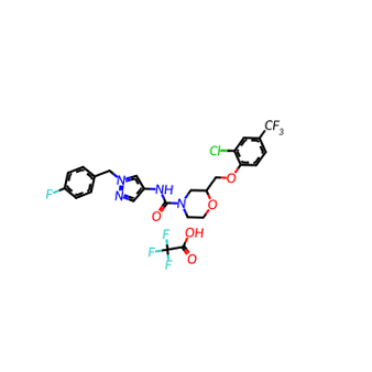 O=C(Nc1cnn(Cc2ccc(F)cc2)c1)N1CCOC(COc2ccc(C(F)(F)F)cc2Cl)C1.O=C(O)C(F)(F)F